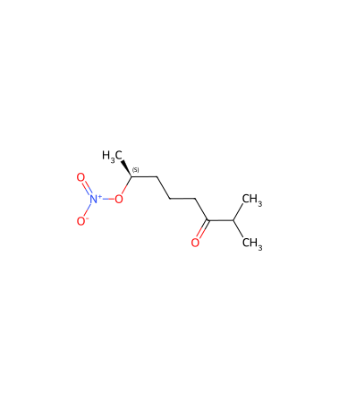 CC(C)C(=O)CCC[C@H](C)O[N+](=O)[O-]